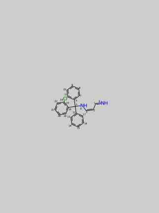 N=C/C=C\NC(c1ccccc1)(c1ccccc1)c1ccccc1Cl